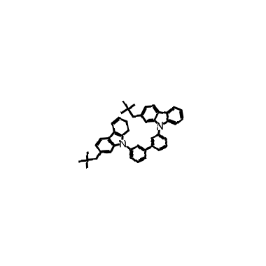 CC(C)(C)Cc1ccc2c3c(n(-c4cccc(-c5cccc(-n6c7ccccc7c7ccc(CC(C)(C)C)cc76)c5)c4)c2c1)CCC=C3